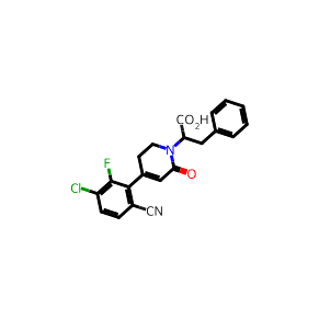 N#Cc1ccc(Cl)c(F)c1C1=CC(=O)N(C(Cc2ccccc2)C(=O)O)CC1